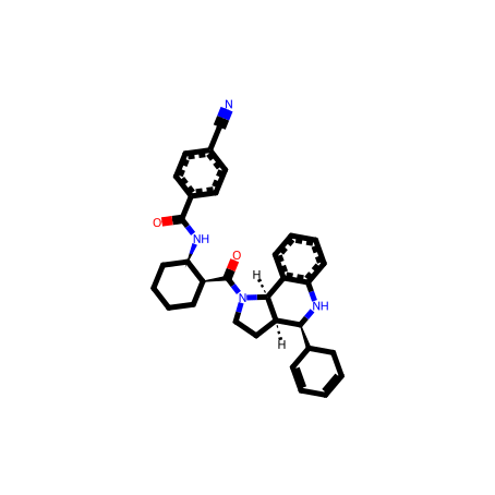 N#Cc1ccc(C(=O)N[C@@H]2CCCC[C@@H]2C(=O)N2CC[C@@H]3[C@H](C4C=CC=CC4)Nc4ccccc4[C@@H]32)cc1